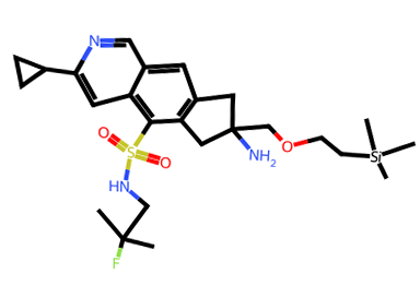 CC(C)(F)CNS(=O)(=O)c1c2c(cc3cnc(C4CC4)cc13)CC(N)(COCC[Si](C)(C)C)C2